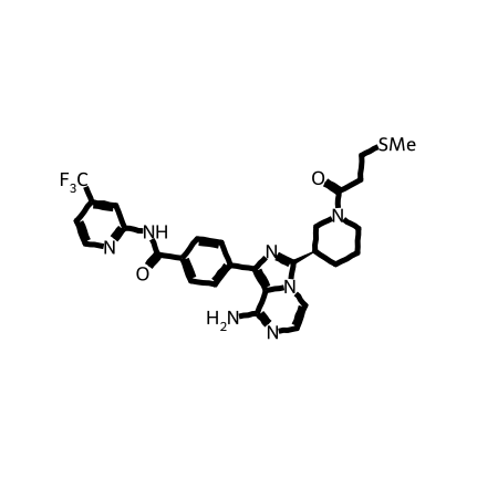 CSCCC(=O)N1CCC[C@@H](c2nc(-c3ccc(C(=O)Nc4cc(C(F)(F)F)ccn4)cc3)c3c(N)nccn23)C1